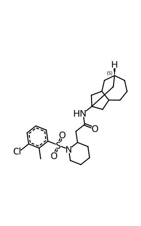 Cc1c(Cl)cccc1S(=O)(=O)N1CCCCC1CC(=O)NC12CC3CCC[C@@H](CC3C1)C2